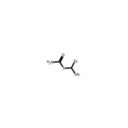 CCCC(CC)SC(N)=O